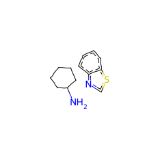 NC1CCCCC1.c1ccc2scnc2c1